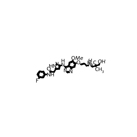 COc1cc2c(Nc3cc(CC(=O)Nc4cccc(F)c4)[nH]n3)ncnc2cc1OCCCNCC(C)(C)CO